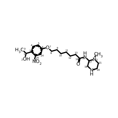 CC(O)c1ccc(OCCCCCCC(=O)NC2CNCCN2C)cc1[N+](=O)[O-]